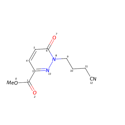 COC(=O)c1ccc(=O)n(CCCC#N)n1